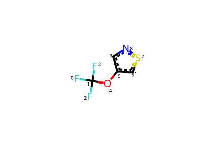 FC(F)(F)Oc1[c]snc1